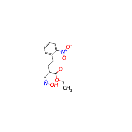 CCOC(=O)C(/C=N\O)CCc1ccccc1[N+](=O)[O-]